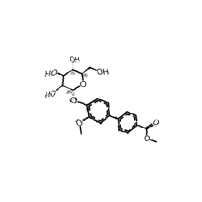 COC(=O)c1ccc(-c2ccc(O[C@H]3O[C@H](CO)[C@@H](O)C(O)C3O)c(OC)c2)cc1